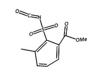 COC(=O)c1cccc(C)c1S(=O)(=O)N=C=O